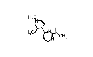 CCC1CN(C)C=CN1C1=NC(NC)=NCC=C1